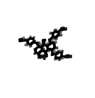 CC(C)(C)c1ccc(Sc2ccc(N)c3c2C(=O)c2c(Sc4ccc(C(C)(C)C)cc4)ccc(Sc4ccc(C(C)(C)C)cc4)c2C3=O)cc1